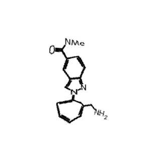 CNC(=O)c1ccc2nn(-c3ccccc3CN)cc2c1